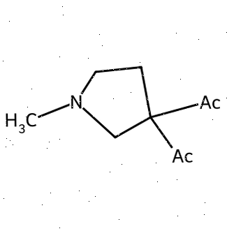 CC(=O)C1(C(C)=O)CCN(C)C1